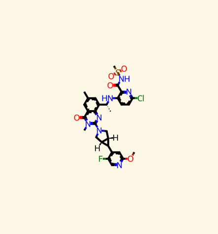 COc1cc(C2[C@H]3CN(c4nc5c([C@@H](C)Nc6ccc(Cl)nc6C(=O)NS(C)(=O)=O)cc(C)cc5c(=O)n4C)C[C@@H]23)c(F)cn1